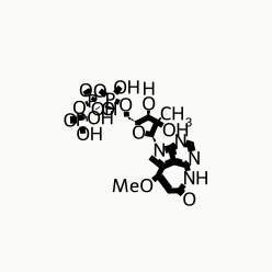 COC1=CC(=O)Nc2ncnc3c2c1cn3[C@@H]1O[C@H](COP(=O)(O)OP(=O)(O)OP(=O)(O)O)[C@@H](O)[C@@]1(C)O